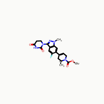 C[C@H]1CC(c2cc3c(cc2F)c(N2CCC(=O)NC2=O)nn3C)=CCN1C(=O)OC(C)(C)C